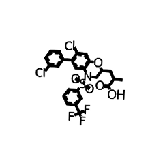 CC(CC1CN(S(=O)(=O)c2cccc(C(F)(F)F)c2)c2cc(-c3cccc(Cl)c3)c(Cl)cc2O1)C(=O)O